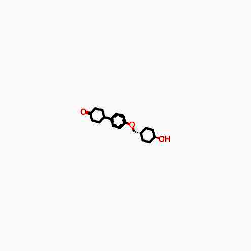 O=C1CCC(c2ccc(OC[C@H]3CC[C@H](O)CC3)cc2)CC1